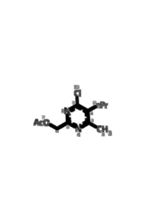 CCCc1c(C)nc(COC(C)=O)nc1Cl